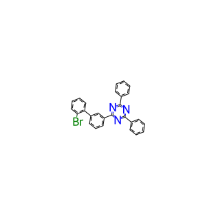 Brc1ccccc1-c1cccc(-c2nc(-c3ccccc3)nc(-c3ccccc3)n2)c1